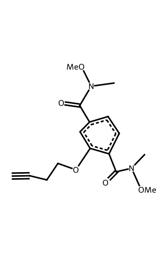 C#CCCOc1cc(C(=O)N(C)OC)ccc1C(=O)N(C)OC